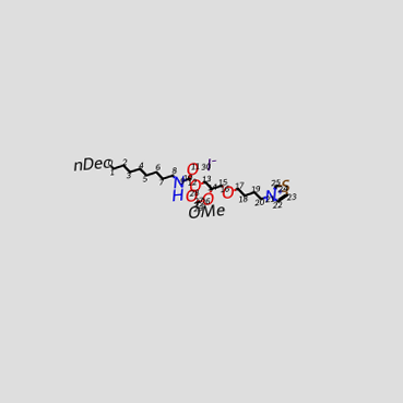 CCCCCCCCCCCCCCCCCCNC(=O)OCC(COCCCC[n+]1ccsc1)OC(=O)OC.[I-]